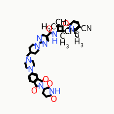 Cc1nc(O[C@H]2C(C)(C)[C@H](NC(=O)c3cnc(N4CCC(CN5CCN(c6ccc7c(c6)C(=O)N(C6CCC(=O)NC6=O)C7=O)CC5)CC4)nc3)C2(C)C)ccc1C#N